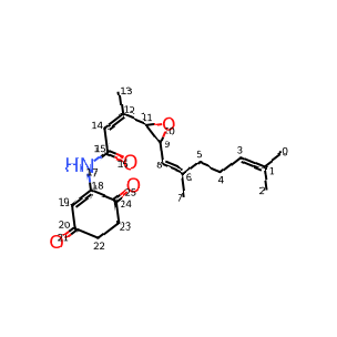 CC(C)=CCCC(C)=CC1OC1C(C)=CC(=O)NC1=CC(=O)CCC1=O